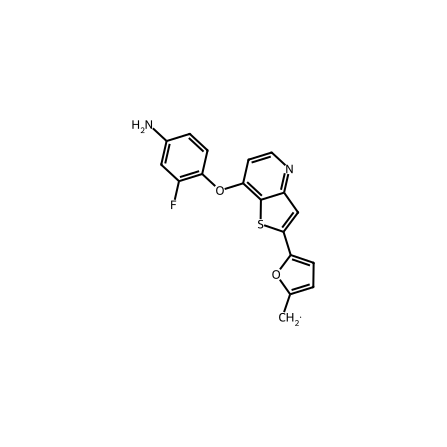 [CH2]c1ccc(-c2cc3nccc(Oc4ccc(N)cc4F)c3s2)o1